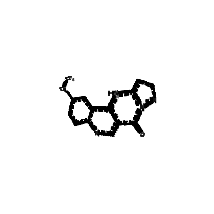 O=c1c2cnc3ccc(OC(F)(F)F)cc3c2[nH]c2ccnn12